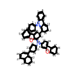 c1ccc(-n2c3ccccc3c3cccc(-c4cc(N(c5ccc(-c6cccc7ccccc67)cc5)c5ccc6c(c5)oc5ccccc56)c5oc6ccccc6c5c4)c32)cc1